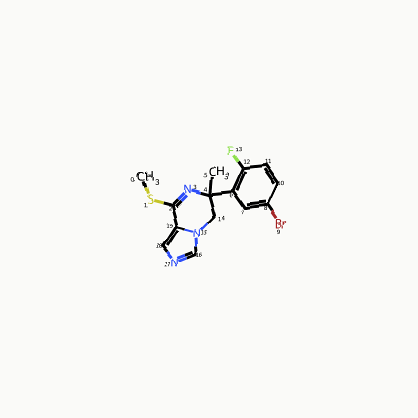 CSC1=NC(C)(c2cc(Br)ccc2F)Cn2cncc21